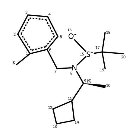 Cc1ccccc1CN([C@@H](C)C1CCC1)[S+]([O-])C(C)(C)C